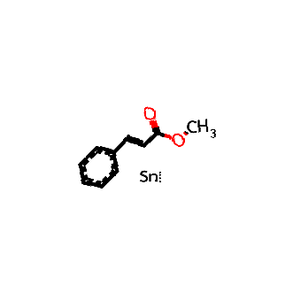 COC(=O)C=Cc1ccccc1.[Sn]